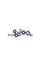 COc1ccc2cnc(Nc3ccc(N4CCCN(C(C)=O)CC4)cc3)nc2c1C1CCCC1